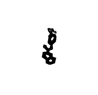 Cc1ccc(OC(=O)c2ccc3ccccc3c2)cc1